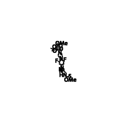 COC(=O)[C@@H]1OC(C)(C)O[C@H]1C(=O)N1CCN(c2c(F)cc(-n3cc(CNC(=S)OC)nn3)cc2F)CC1